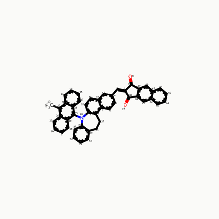 O=C1C(=Cc2ccc3c4c(ccc3c2)N(c2c3ccccc3c(C(F)(F)F)c3ccccc23)c2ccccc2CC4)C(=O)c2cc3ccccc3cc21